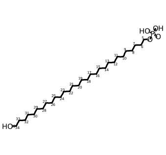 O=P(O)(O)OCCCCCCCCCCCCCCCCCCCCCCCCCCCCCCO